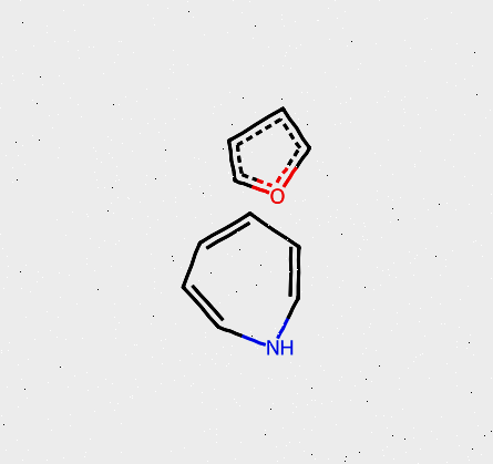 C1=CC=CNC=C1.c1ccoc1